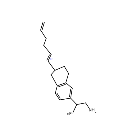 C=CCC/C=C/C1CCc2cc(C(CN)CCC)ccc2C1